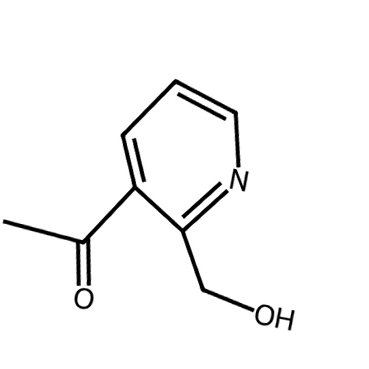 CC(=O)c1cccnc1CO